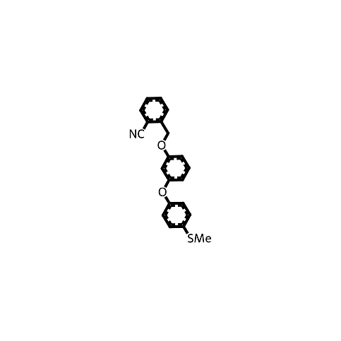 CSc1ccc(Oc2cccc(OCc3ccccc3C#N)c2)cc1